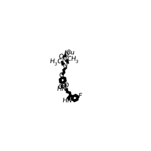 C[C@@H]1CN(CCCOc2ccc(S(=O)(=O)NCCCc3c[nH]c4ccc(F)cc34)cc2)C[C@@H](C)N1C(=O)OC(C)(C)C